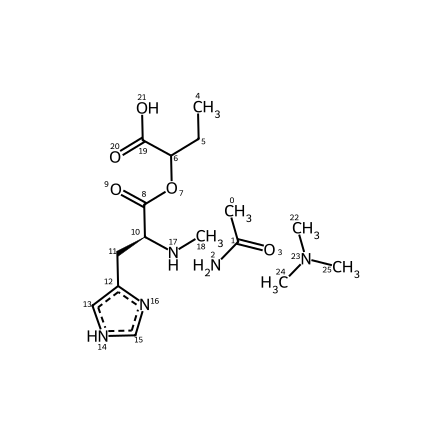 CC(N)=O.CCC(OC(=O)[C@H](Cc1c[nH]cn1)NC)C(=O)O.CN(C)C